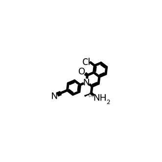 C[C@H](N)c1cc2cccc(Cl)c2c(=O)n1-c1ccc(C#N)cc1